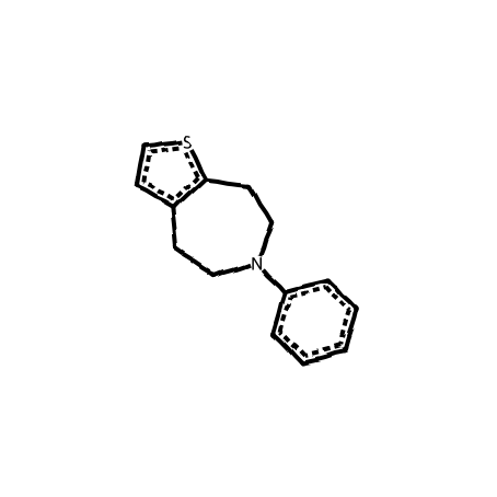 c1ccc(N2CCc3ccsc3CC2)cc1